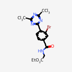 CCOC(=O)CNC(=O)c1ccc(-c2nc(C(Cl)(Cl)Cl)nc(C(Cl)(Cl)Cl)n2)c(Br)c1